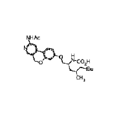 CC(=O)Nc1cc2c(cn1)COc1cc(OCC(CC(C)CC(C)(C)C)NC(=O)O)ccc1-2